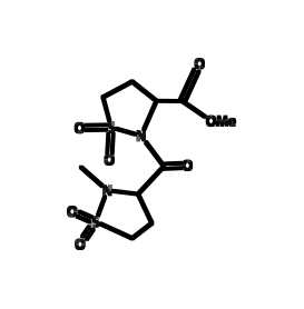 COC(=O)C1CCS(=O)(=O)N1C(=O)C1CCS(=O)(=O)N1C